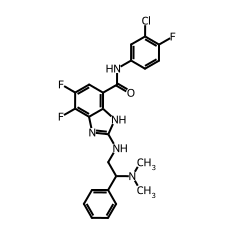 CN(C)C(CNc1nc2c(F)c(F)cc(C(=O)Nc3ccc(F)c(Cl)c3)c2[nH]1)c1ccccc1